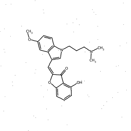 COc1ccc2c(c1)c(C=C1Oc3c[c]cc(O)c3C1=O)cn2CCCN(C)C